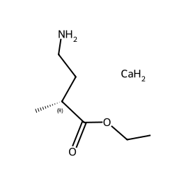 CCOC(=O)[C@H](C)CCN.[CaH2]